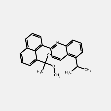 COC(C)(C)c1cccc2cccc(-c3ccc4c(C(C)C)cccc4n3)c12